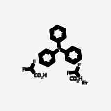 O=C(O)C(F)F.O=C(O)C(F)F.[Rh].c1ccc(P(c2ccccc2)c2ccccc2)cc1